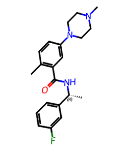 Cc1ccc(N2CCN(C)CC2)cc1C(=O)N[C@H](C)c1cccc(F)c1